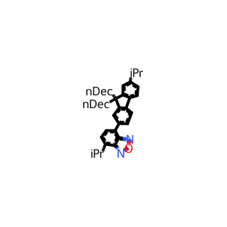 CCCCCCCCCCC1(CCCCCCCCCC)c2cc(-c3ccc(C(C)C)c4nonc34)ccc2-c2ccc(C(C)C)cc21